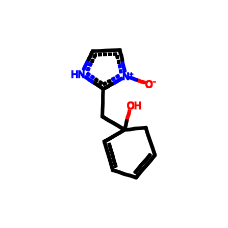 [O-][n+]1cc[nH]c1CC1(O)C=CC=CC1